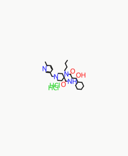 CCCCN1C(=O)[C@@H]([C@H](O)C2CCCCC2)NC(=O)C12CCN(Cc1ccc(C)nc1)CC2.Cl.Cl